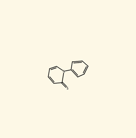 S=c1ccccn1-c1ccccc1